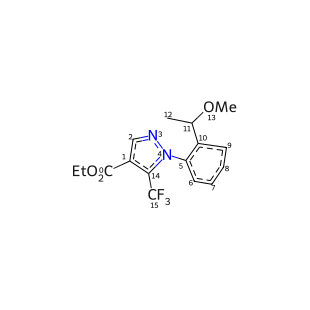 CCOC(=O)c1cnn(-c2ccccc2C(C)OC)c1C(F)(F)F